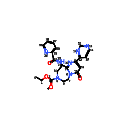 CCOC(=O)N1CCn2c(nc(-c3ccncn3)cc2=O)C(NC(=O)c2ccccn2)C1